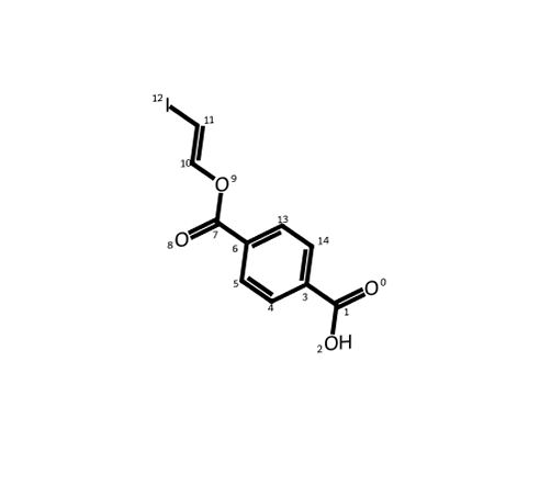 O=C(O)c1ccc(C(=O)OC=CI)cc1